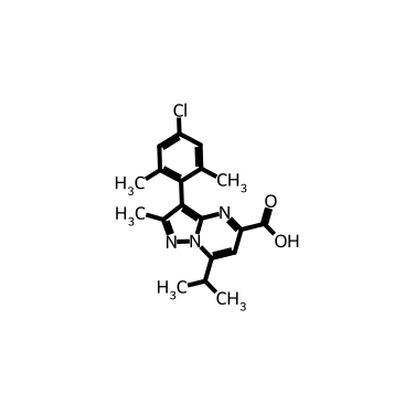 Cc1cc(Cl)cc(C)c1-c1c(C)nn2c(C(C)C)cc(C(=O)O)nc12